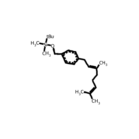 CC(C)=CCC/C(C)=C/Cc1ccc(CO[Si](C)(C)C(C)(C)C)cc1